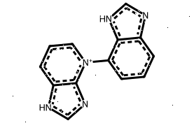 c1cc(-[n+]2cccc3[nH]cnc32)c2[nH]cnc2c1